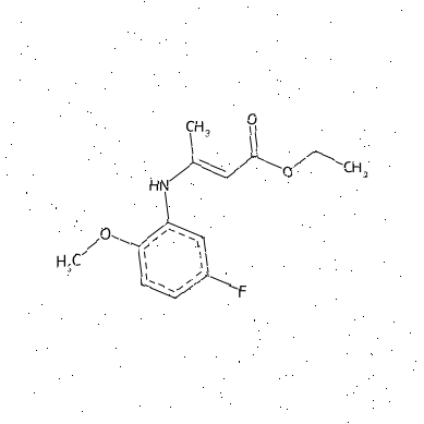 CCOC(=O)C=C(C)Nc1cc(F)ccc1OC